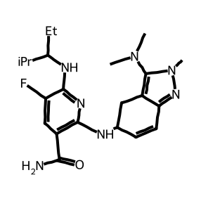 CCC(Nc1nc(NC2C=Cc3nn(C)c(N(C)C)c3C2)c(C(N)=O)cc1F)C(C)C